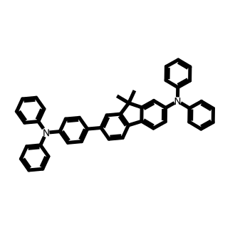 CC1(C)c2cc(-c3ccc(N(c4ccccc4)c4ccccc4)cc3)ccc2-c2ccc(N(c3ccccc3)c3ccccc3)cc21